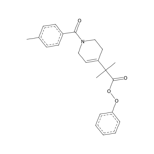 Cc1ccc(C(=O)N2CC=C(C(C)(C)C(=O)OOc3ccccc3)CC2)cc1